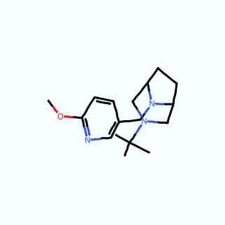 COc1ccc(CN2C3CCC2CN(C(C)(C)C)C3)cn1